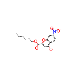 CCCCCCOC(=O)c1cc(=O)c2ccc([N+](=O)[O-])cc2o1